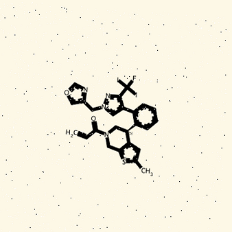 C=CC(=O)N1Cc2sc(C)cc2[C@H](c2ccccc2-c2cn(Cc3cocn3)nc2C(F)(I)I)C1